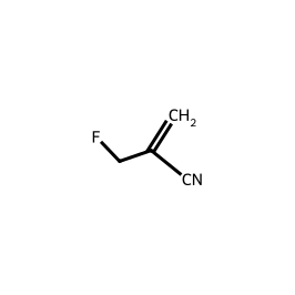 C=C(C#N)CF